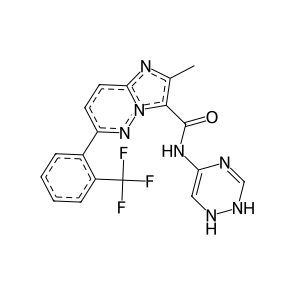 Cc1nc2ccc(-c3ccccc3C(F)(F)F)nn2c1C(=O)NC1=CNNC=N1